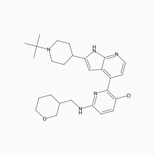 CC(C)(C)N1CCC(c2cc3c(-c4nc(NCC5CCCOC5)ccc4Cl)ccnc3[nH]2)CC1